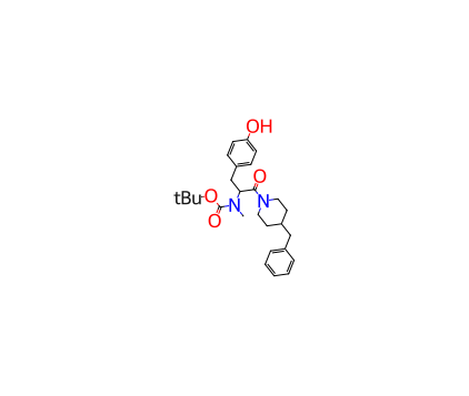 CN(C(=O)OC(C)(C)C)C(Cc1ccc(O)cc1)C(=O)N1CCC(Cc2ccccc2)CC1